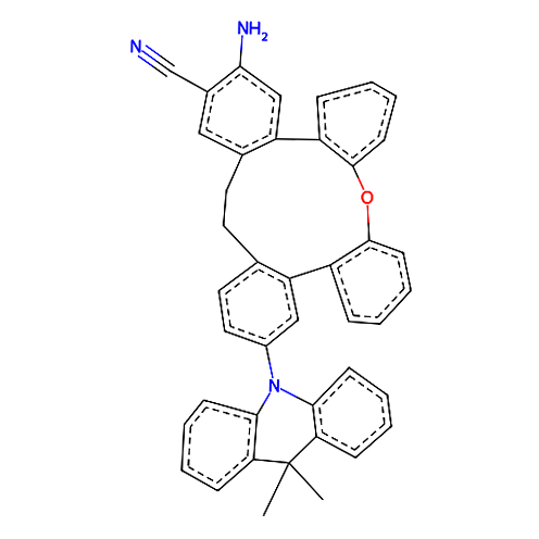 CC1(C)c2ccccc2N(c2ccc3c(c2)-c2ccccc2Oc2ccccc2-c2cc(N)c(C#N)cc2CC3)c2ccccc21